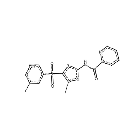 Cc1cccc(S(=O)(=O)c2sc(NC(=O)c3ccccn3)nc2C)c1